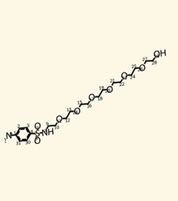 Nc1ccc(S(=O)(=O)NCCOCCOCCOCCOCCOCCOCCO)cc1